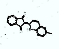 Cc1ccc2c(c1)C=CC(=C1C(=O)c3ccccc3C1=O)N2